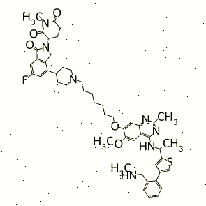 CNCc1ccccc1-c1csc(C(C)Nc2nc(C)nc3cc(OCCCCCCCN4CCC(c5cc(F)cc6c5CN(C5CCC(=O)N(C)C5=O)C6=O)CC4)c(OC)cc23)c1